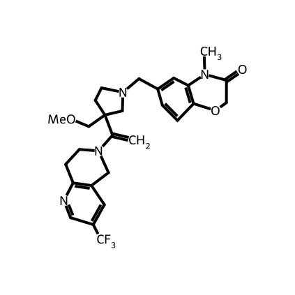 C=C(N1CCc2ncc(C(F)(F)F)cc2C1)C1(COC)CCN(Cc2ccc3c(c2)N(C)C(=O)CO3)C1